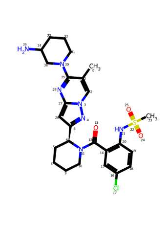 Cc1cn2nc([C@@H]3CCCCN3C(=O)c3cc(Cl)ccc3NS(C)(=O)=O)cc2nc1N1CCCC(N)C1